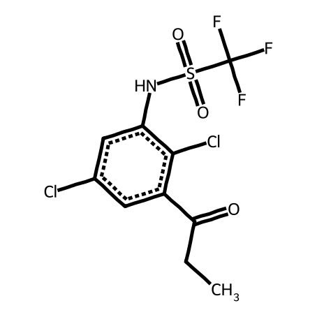 CCC(=O)c1cc(Cl)cc(NS(=O)(=O)C(F)(F)F)c1Cl